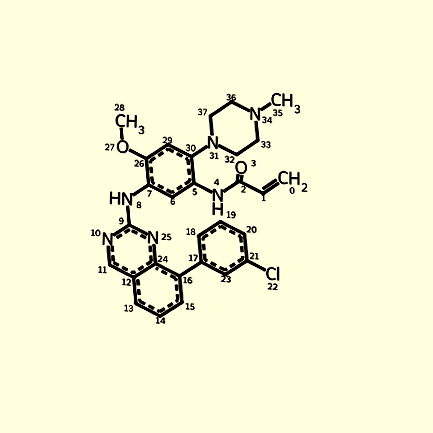 C=CC(=O)Nc1cc(Nc2ncc3cccc(-c4cccc(Cl)c4)c3n2)c(OC)cc1N1CCN(C)CC1